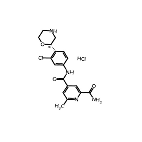 Cc1cc(C(=O)Nc2ccc([C@H]3CNCCO3)c(Cl)c2)cc(C(N)=O)n1.Cl